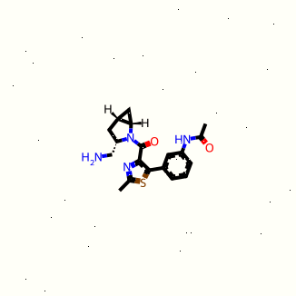 CC(=O)Nc1cccc(-c2sc(C)nc2C(=O)N2[C@H](CN)C[C@@H]3C[C@@H]32)c1